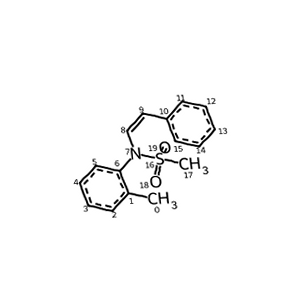 Cc1ccccc1N(/C=C\c1ccccc1)S(C)(=O)=O